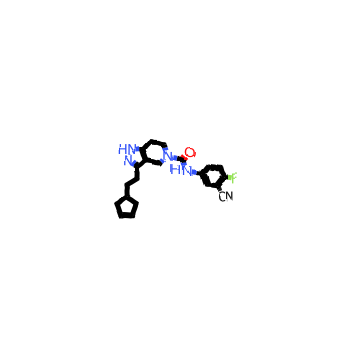 N#Cc1cc(NC(=O)N2CCc3[nH]nc(CCC4CCCC4)c3C2)ccc1F